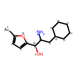 CC(=O)c1ccc([C@H](O)C(N)CC2CCCCC2)o1